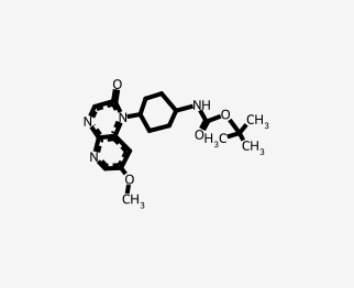 COc1cnc2ncc(=O)n(C3CCC(NC(=O)OC(C)(C)C)CC3)c2c1